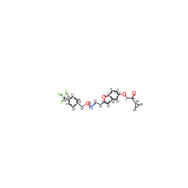 O=C(COc1ccc2oc(CC=NOCc3ccc(C(F)(F)F)cc3)cc2c1)C1CC1